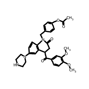 COc1ccc(C(=O)C2CC(=O)N(Cc3ccc(OC(C)=O)cc3)c3ccc(N4CCNCC4)cc32)cc1OC